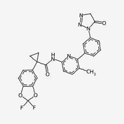 Cc1ccc(NC(=O)C2(c3ccc4c(c3)OC(F)(F)O4)CC2)nc1-c1cccc(N2N=NCC2=O)c1